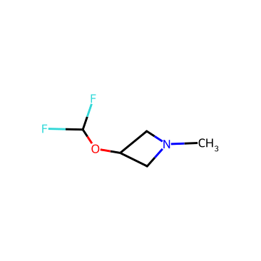 CN1CC(OC(F)F)C1